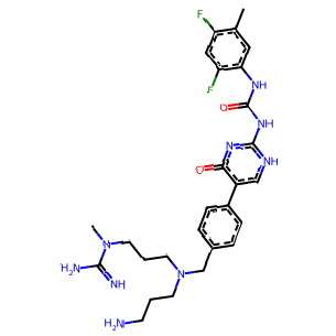 Cc1cc(NC(=O)Nc2nc(=O)c(-c3ccc(CN(CCCN)CCCN(C)C(=N)N)cc3)c[nH]2)c(F)cc1F